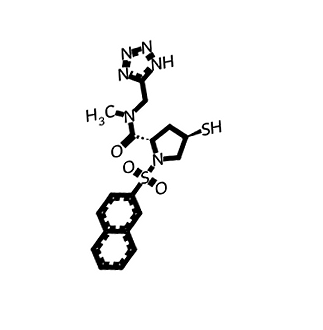 CN(Cc1nnn[nH]1)C(=O)[C@@H]1C[C@@H](S)CN1S(=O)(=O)c1ccc2ccccc2c1